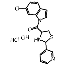 Cl.Cl.O=C(C1CSC(c2cccnc2)N1)n1ccc2ccc(Cl)cc21